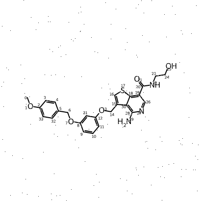 COc1ccc(COc2cccc(OCc3csc4c(C(=O)NCCO)cnc(N)c34)c2)cc1